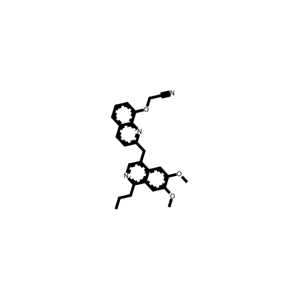 CCCc1ncc(Cc2ccc3cccc(OCC#N)c3n2)c2cc(OC)c(OC)cc12